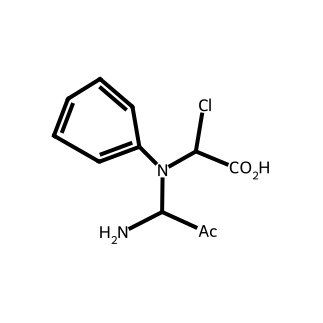 CC(=O)C(N)N(c1ccccc1)C(Cl)C(=O)O